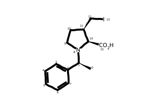 C[C@@H](c1ccccc1)N1CC[C@@H](CI)[C@H]1C(=O)O